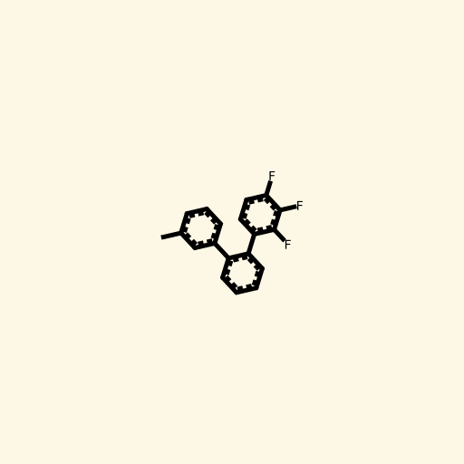 Cc1cccc(-c2ccccc2-c2ccc(F)c(F)c2F)c1